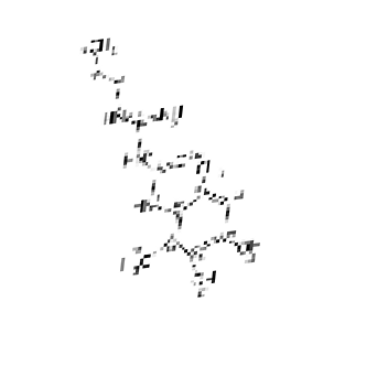 CCCNC(=N)NC(=O)Nc1c(C)cc(O)c(O)c1C